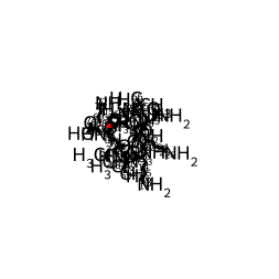 CC(C)C[C@H](NC(=O)[C@@H](NC(=O)[C@H](CCCCN)NC(=O)[C@H](CCCCN)NC(=O)[C@H](Cc1c[nH]c2ccccc12)NC(=O)[C@H](CC(N)=O)NC(=O)[C@@H](N)C(C)C)C(C)C)C(=O)NCC(=O)N[C@@H](CCCCN)C(=O)O